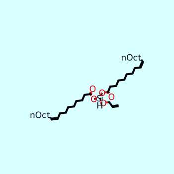 C=CCO[SiH](OC(=O)CCCCCCC/C=C\CCCCCCCC)OC(=O)CCCCCCC/C=C\CCCCCCCC